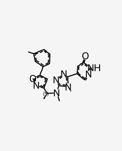 Cc1cccc(-c2cc([C@H](C)N(C)c3nnc(-c4cn[nH]c(=O)c4)n3C)no2)c1